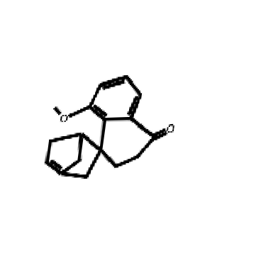 COc1cccc2c1C1(CCC2=O)CC2=CCC1C2